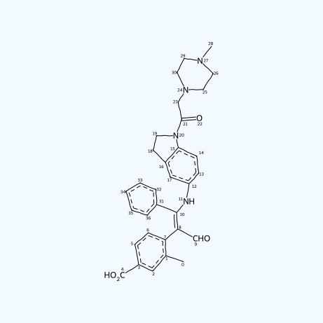 Cc1cc(C(=O)O)ccc1/C(C=O)=C(/Nc1ccc2c(c1)CCN2C(=O)CN1CCN(C)CC1)c1ccccc1